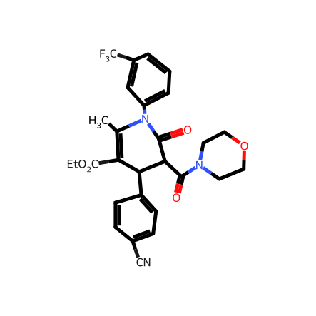 CCOC(=O)C1=C(C)N(c2cccc(C(F)(F)F)c2)C(=O)C(C(=O)N2CCOCC2)C1c1ccc(C#N)cc1